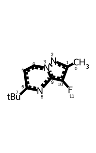 Cc1nn2ccc(C(C)(C)C)nc2c1F